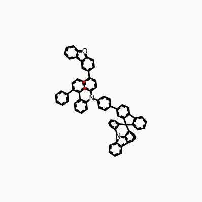 c1ccc(-c2ccccc2-c2ccccc2N(c2ccc(-c3ccc4c(c3)C3(c5ccccc5-4)c4ccccc4-n4c5ccccc5c5cccc3c54)cc2)c2ccc(-c3ccc4oc5ccccc5c4c3)cc2)cc1